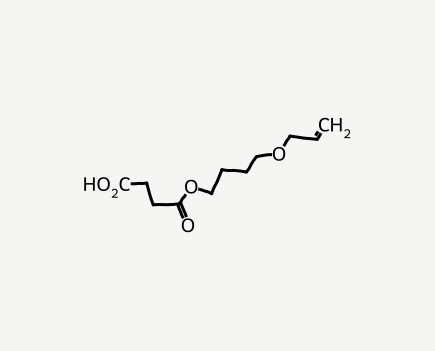 C=CCOCCCCOC(=O)CCC(=O)O